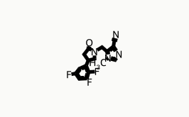 Cn1cnc(C#N)c1CN1CC(c2cc(F)cc(F)c2F)CC1=O